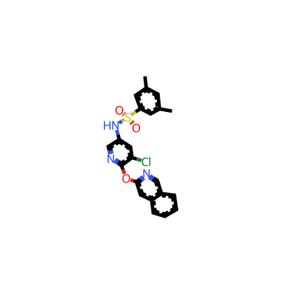 Cc1cc(C)cc(S(=O)(=O)Nc2cnc(Oc3cc4ccccc4cn3)c(Cl)c2)c1